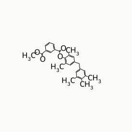 COC(=O)c1cccc(C(=O)Oc2c(C)cc(Cc3cc(C)c(C)c(C)c3)cc2C)c1